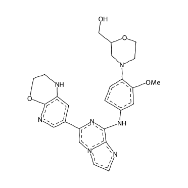 COc1cc(Nc2nc(-c3cnc4c(c3)NCCO4)cn3ccnc23)ccc1N1CCOC(CO)C1